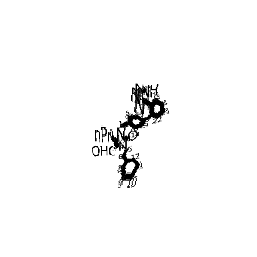 CCCc1c(C=O)n(CCC2CCCCC2)c(=O)n1Cc1ccc(-c2ccccc2-c2nnn[nH]2)cc1